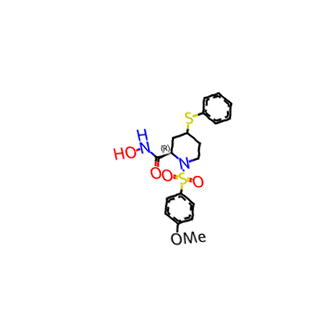 COc1ccc(S(=O)(=O)N2CCC(Sc3ccccc3)C[C@@H]2C(=O)NO)cc1